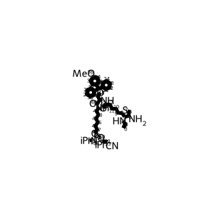 C=CNC1C(N)CSC1CCCCC(=O)NC(COC(c1ccccc1)(c1ccccc1)c1ccc(OC)cc1)C(=O)NCCCCCCOP(OCCC#N)N(C(C)C)C(C)C